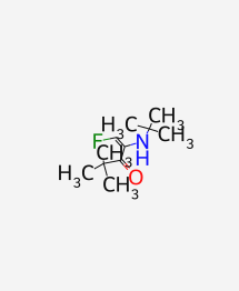 CC(C)(C)NC(=CF)C(=O)C(C)(C)C